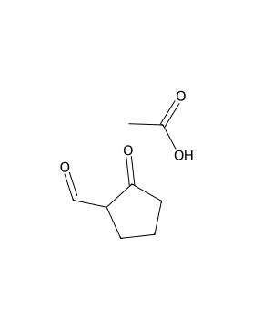 CC(=O)O.O=CC1CCCC1=O